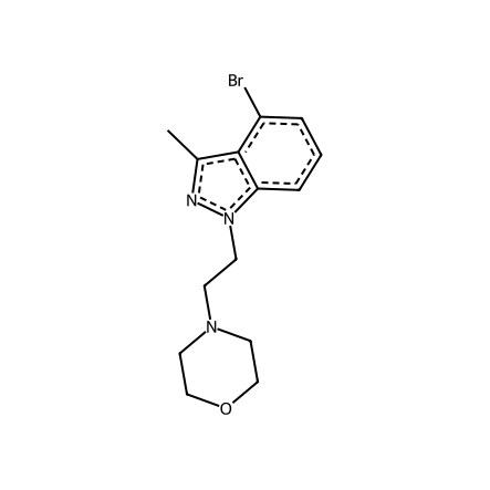 Cc1nn(CCN2CCOCC2)c2cccc(Br)c12